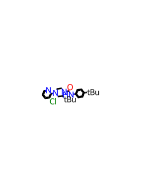 CC(C)(C)c1ccc(NC(=O)N2CCN(c3ncccc3Cl)CC2C(C)(C)C)cc1